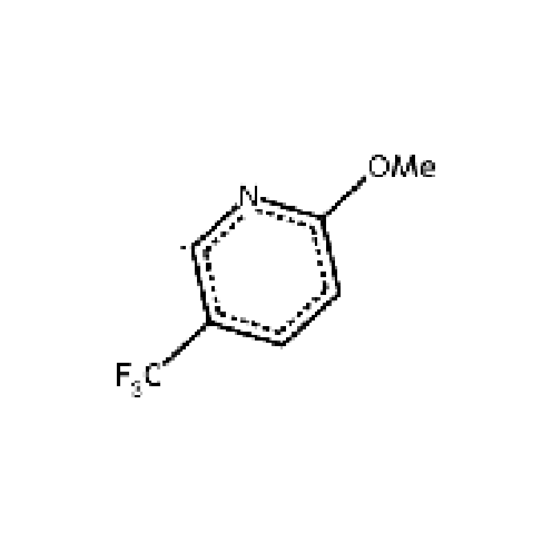 COc1ccc(C(F)(F)F)[c]n1